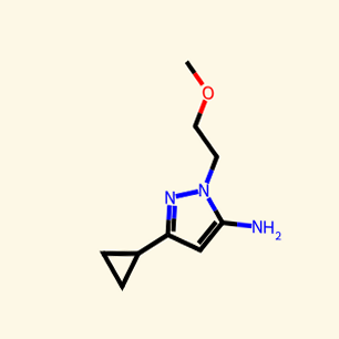 COCCn1nc(C2CC2)cc1N